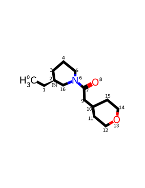 CC[C@H]1CCCN(C(=O)CC2CCOCC2)C1